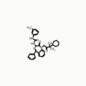 Cc1cccc(NC(=O)NC2N=C(c3ccccc3)c3ccccc3N(CC(=O)C(C)(C)C3CCCCC3)C2=O)c1